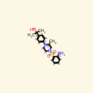 C[C@H]1CN(S(=O)(=O)c2ccccc2N)CCN1c1ccc(C(C)(C)O)cc1